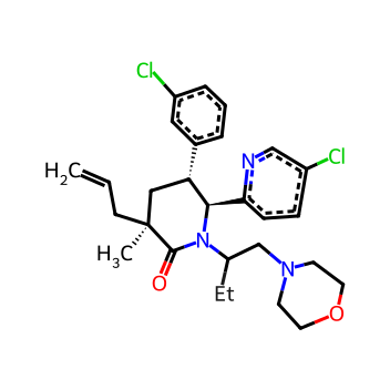 C=CC[C@@]1(C)C[C@H](c2cccc(Cl)c2)[C@@H](c2ccc(Cl)cn2)N(C(CC)CN2CCOCC2)C1=O